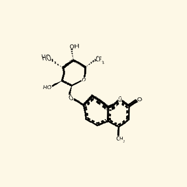 Cc1cc(=O)oc2cc(O[C@@H]3O[C@@H](C(F)(F)F)[C@@H](O)[C@@H](O)[C@@H]3O)ccc12